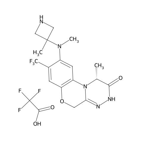 C[C@@H]1C(=O)NN=C2COc3cc(C(F)(F)F)c(N(C)C4(C)CNC4)cc3N21.O=C(O)C(F)(F)F